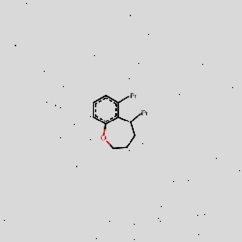 CC(C)c1cccc2c1C(C(C)C)CCCO2